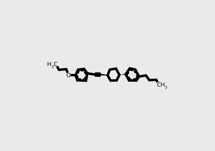 CCCCc1ccc([C@H]2CC[C@H](C#Cc3ccc(OCCC)cc3)CC2)cc1